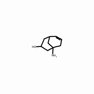 NC12CC=CC(CC(O)C1)C2